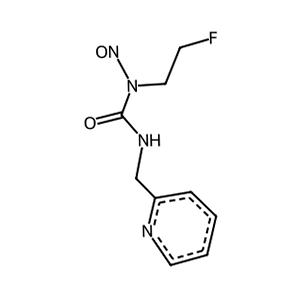 O=NN(CCF)C(=O)NCc1ccccn1